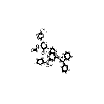 Cn1nnc([C@H]2O[C@@H](n3cnc4c(NCC(c5ccccc5)c5ccccc5)nc(N(O)C5CCCC5)nc43)[C@H](O)[C@@H]2OC=O)n1